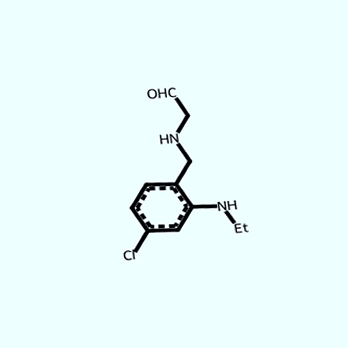 CCNc1cc(Cl)ccc1CNCC=O